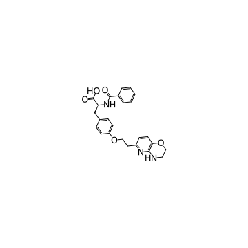 O=C(N[C@@H](Cc1ccc(OCCc2ccc3c(n2)NCCO3)cc1)C(=O)O)c1ccccc1